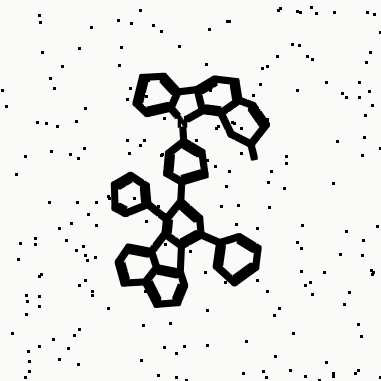 CC1C=Cc2ccc3c4ccccc4n(-c4ccc(-c5cc(-c6ccccc6)c6c(c5-c5ccccc5)-c5cccc7cccc-6c57)cc4)c3c2C1